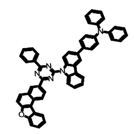 c1ccc(-c2nc(-c3ccc4c(ccc5oc6ccccc6c54)c3)nc(-n3c4ccccc4c4cc(-c5ccc(N(c6ccccc6)c6ccccc6)cc5)ccc43)n2)cc1